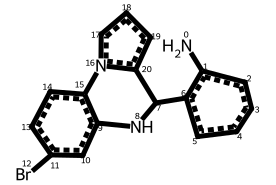 Nc1ccccc1C1Nc2cc(Br)ccc2-n2cccc21